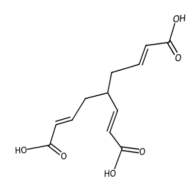 O=C(O)C=CCC(C=CC(=O)O)CC=CC(=O)O